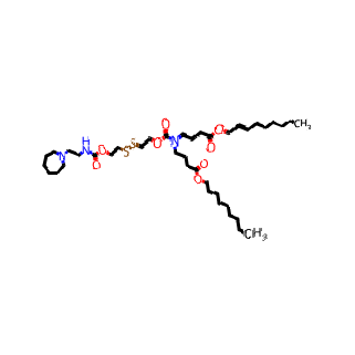 CCCCCCCCCOC(=O)CCCN(CCCC(=O)OCCCCCCCCC)C(=O)OCCSSCCOC(=O)NCCN1CCCCCC1